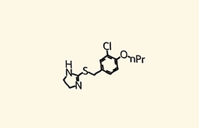 CCCOc1ccc(CSC2=NCCN2)cc1Cl